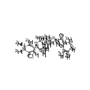 [2H]c1c([2H])c(Cl)c([2H])c(N2CC([2H])([2H])N(C([2H])([2H])C([2H])([2H])Cn3nc4c([2H])c([2H])c([2H])c([2H])n4c3=O)C([2H])([2H])C2)c1[2H]